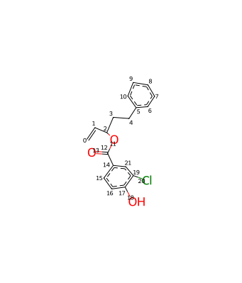 C=CC(CCc1ccccc1)OC(=O)c1ccc(O)c(Cl)c1